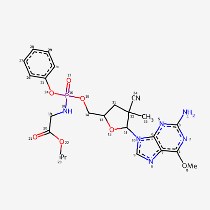 COc1nc(N)nc2c1ncn2C1OC(COP(=O)(NCC(=O)OC(C)C)Oc2ccccc2)CC1(C)C#N